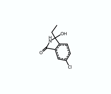 CCC1(O)NC(=O)c2cc(Cl)ccc21